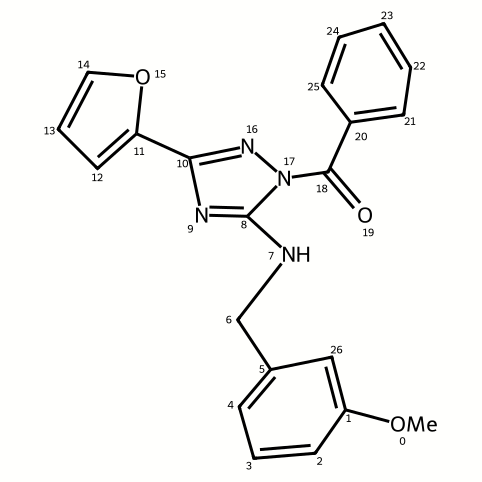 COc1cccc(CNc2nc(-c3ccco3)nn2C(=O)c2ccccc2)c1